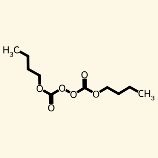 CCCCOC(=O)OOC(=O)OCCCC